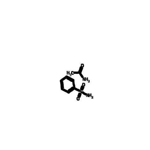 CC(N)=O.NS(=O)(=O)c1ccccc1